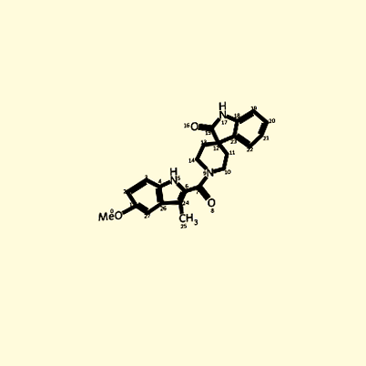 COc1ccc2[nH]c(C(=O)N3CCC4(CC3)C(=O)Nc3ccccc34)c(C)c2c1